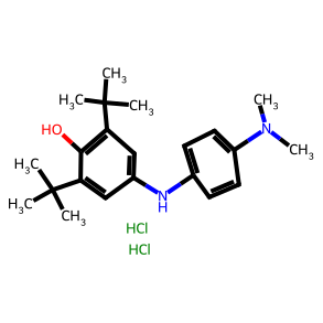 CN(C)c1ccc(Nc2cc(C(C)(C)C)c(O)c(C(C)(C)C)c2)cc1.Cl.Cl